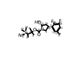 CC(C(C)(C)OC(=O)N1C[C@@H](c2cc(F)cc(F)c2F)CC1O)S(C)(C)C#N